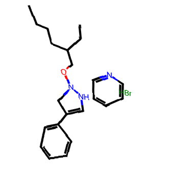 Br.CCCCC(CC)CON1CC(c2ccccc2)=CN1.c1ccncc1